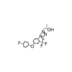 CC(O)CN1CN(c2ccc(Oc3ccc(F)cc3)cc2C(F)(F)F)C=N1